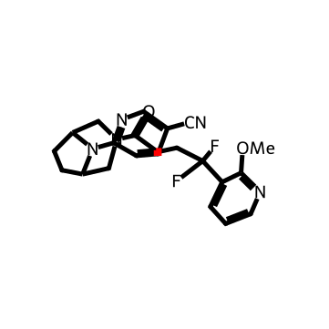 COc1ncccc1C(F)(F)CCC(=O)N1CC2CCC(C1)N2c1ccc(C#N)cn1